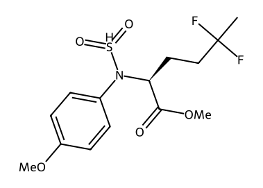 COC(=O)[C@H](CCC(C)(F)F)N(c1ccc(OC)cc1)[SH](=O)=O